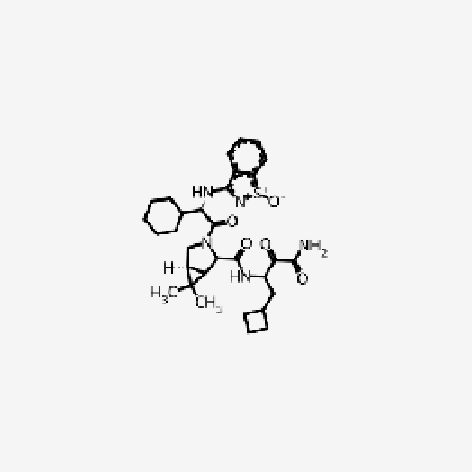 CC1(C)C2C(C(=O)NC(CC3CCC3)C(=O)C(N)=O)N(C(=O)[C@@H](Nc3n[s+]([O-])c4ccccc34)C3CCCCC3)C[C@@H]21